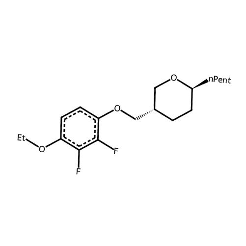 CCCCC[C@H]1CC[C@H](COc2ccc(OCC)c(F)c2F)CO1